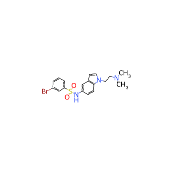 CN(C)CCn1ccc2cc(NS(=O)(=O)c3cccc(Br)c3)ccc21